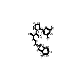 C=C(CCCn1cc2c(F)cccc2n1)C(=O)N1N=CCC1c1cc(F)cc(F)c1